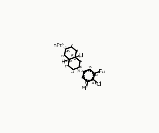 CCC[C@@H]1CC[C@@H]2C[C@H](c3cc(F)c(Cl)c(F)c3)CC[C@@H]2C1